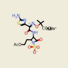 CC(=O)OCCC1C(NC(=O)/C(=N\OC(C)(C)C(=O)[O-])c2csc(N)n2)C(=O)N1S(=O)(=O)[O-].[Na+].[Na+]